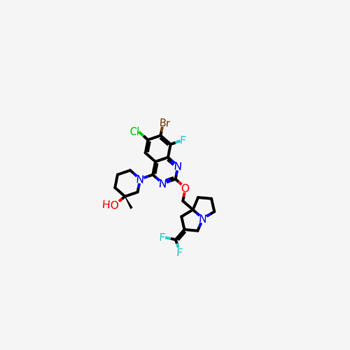 C[C@@]1(O)CCCN(c2nc(OCC34CCCN3CC(=C(F)F)C4)nc3c(F)c(Br)c(Cl)cc23)C1